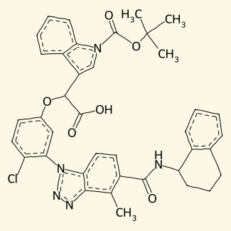 Cc1c(C(=O)NC2CCCc3ccccc32)ccc2c1nnn2-c1cc(OC(C(=O)O)c2cn(C(=O)OC(C)(C)C)c3ccccc23)ccc1Cl